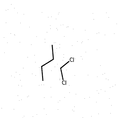 CCCC.ClCCl